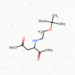 COC(=O)CC(NC[SiH2]OC(C)(OC)OC)C(=O)OC